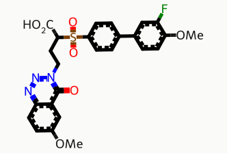 COc1ccc2nnn(CCC(C(=O)O)S(=O)(=O)c3ccc(-c4ccc(OC)c(F)c4)cc3)c(=O)c2c1